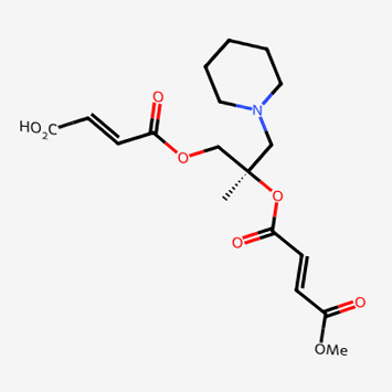 COC(=O)/C=C/C(=O)O[C@@](C)(COC(=O)/C=C/C(=O)O)CN1CCCCC1